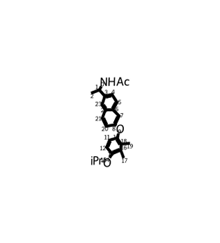 CC(=O)NC(C)c1ccc2cc(Oc3ccc(OC(C)C)c(C)c3C)ccc2c1